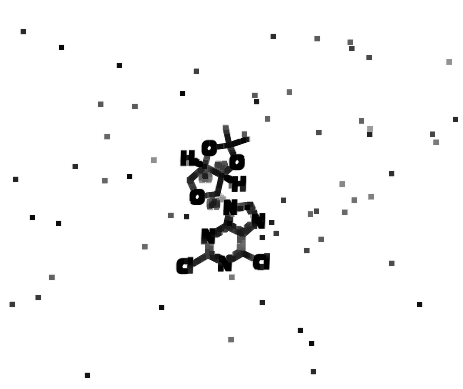 CC1(C)O[C@H]2[C@H](CO[C@H]2n2cnc3c(Cl)nc(Cl)nc32)O1